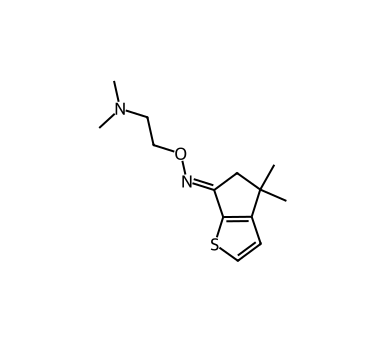 CN(C)CCON=C1CC(C)(C)c2ccsc21